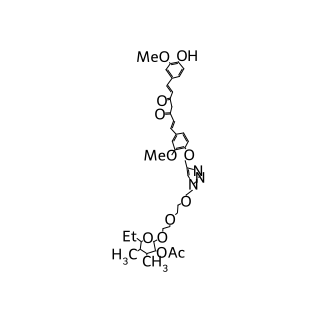 CCC1OC(OCCOCCOCCn2cc(COc3ccc(/C=C/C(=O)CC(=O)/C=C/c4ccc(O)c(OC)c4)cc3OC)nn2)C(OC(C)=O)C(C)C1C